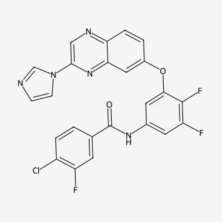 O=C(Nc1cc(F)c(F)c(Oc2ccc3ncc(-n4ccnc4)nc3c2)c1)c1ccc(Cl)c(F)c1